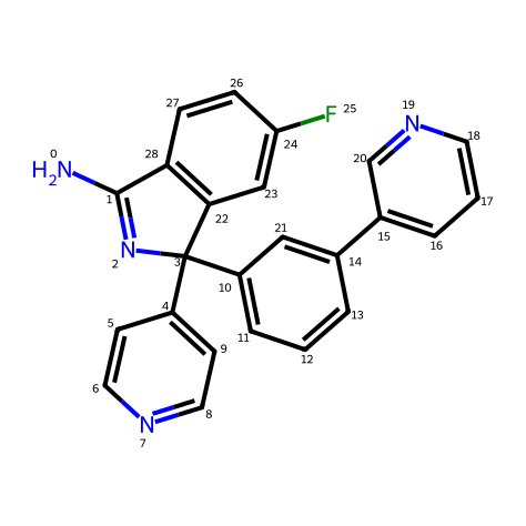 NC1=NC(c2ccncc2)(c2cccc(-c3cccnc3)c2)c2cc(F)ccc21